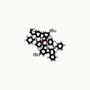 CC(C)(C)c1cc2c3cc4ccccc4c(N(c4ccccc4)c4ccccc4)c3n3c4cc5c6cc(C(C)(C)C)cc7c8c9ccccc9cc(N(c9ccccc9)c9ccccc9)c8n(c5nc4c(c1)c23)c67